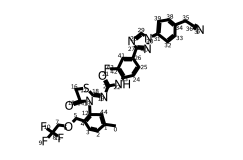 Cc1ccc(COCC(F)(F)F)c(N2C(=O)CSC2=NC(=O)Nc2ccc(-c3ncn(-c4ccc(CC#N)cc4)n3)cc2F)c1